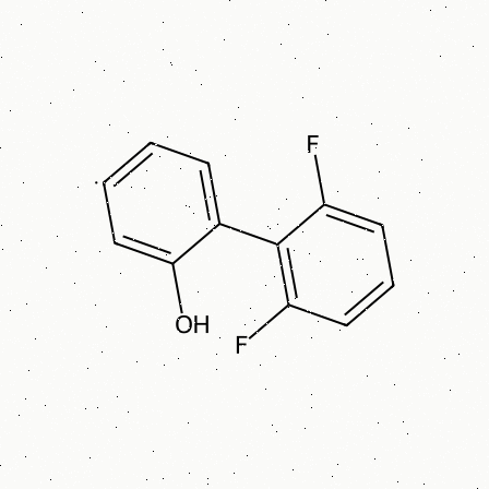 Oc1c[c]ccc1-c1c(F)cccc1F